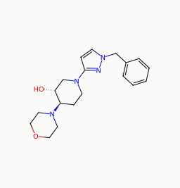 O[C@@H]1CN(c2ccn(Cc3ccccc3)n2)CC[C@H]1N1CCOCC1